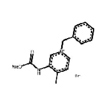 COC(=O)Nc1c[n+](Cc2ccccc2)ccc1C.[Br-]